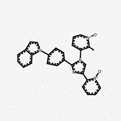 Cc1c(-n2cc(-c3cccc[n+]3[O-])nc2-c2ccc(-n3ccc4ccccc43)cc2)ccc[n+]1[O-]